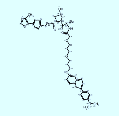 Cc1ncsc1-c1ccc(CNC(=O)[C@@H]2C[C@@H](O)CN2C(=O)[C@@H](NC(=O)COCCCOCCCOc2ccc3nc(-c4ccc(N(C)C)cc4)ccc3c2)C(C)(C)C)cc1